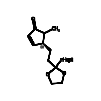 CCCCCCCC1(CC[C@H]2C=CC(=O)C2C)OCCO1